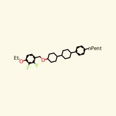 CCCCCc1ccc(C2CCC(C3CCC(OCc4ccc(OCC)c(F)c4F)CC3)CC2)cc1